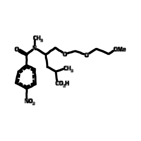 COCCOCOCC(CC(C)C(=O)O)N(C)C(=O)c1ccc([N+](=O)[O-])cc1